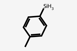 Cc1ccc([SiH3])cc1